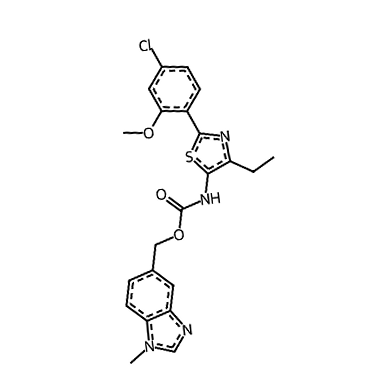 CCc1nc(-c2ccc(Cl)cc2OC)sc1NC(=O)OCc1ccc2c(c1)ncn2C